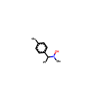 CC(C)C(c1ccc(C(C)(C)C)cc1)N(O)C(C)(C)C